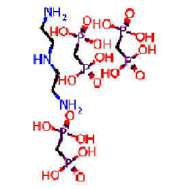 NCCNCCN.O=P(O)(O)CP(=O)(O)O.O=P(O)(O)CP(=O)(O)O.O=P(O)(O)CP(=O)(O)O